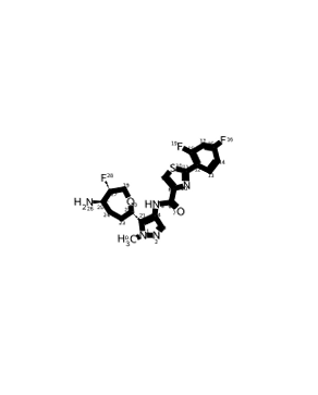 Cn1ncc(NC(=O)c2csc(-c3ccc(F)cc3F)n2)c1[C@@H]1CC[C@@H](N)[C@H](F)CO1